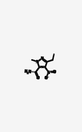 CCc1nn(C)c(C(N)=O)c1[N+](=O)[O-]